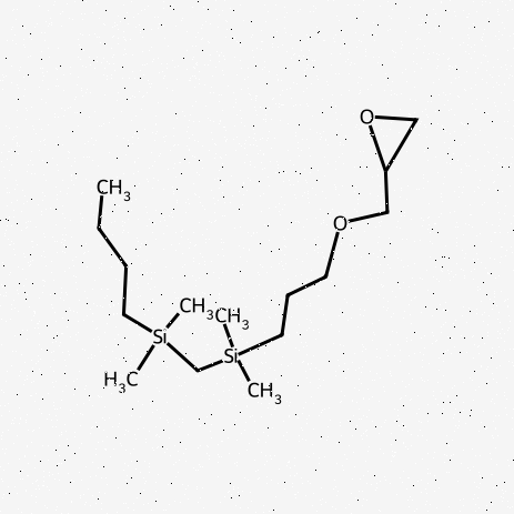 CCCC[Si](C)(C)C[Si](C)(C)CCCOCC1CO1